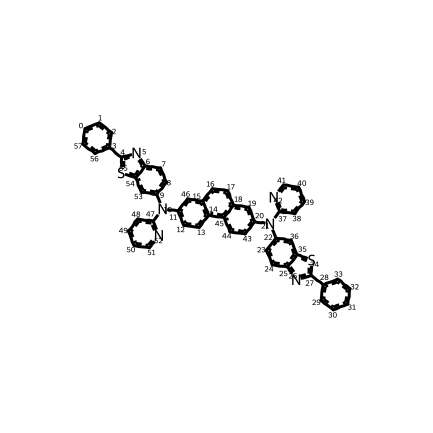 c1ccc(-c2nc3ccc(N(c4ccc5c(ccc6cc(N(c7ccc8nc(-c9ccccc9)sc8c7)c7ccccn7)ccc65)c4)c4ccccn4)cc3s2)cc1